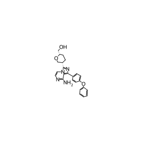 Nc1nccn2c([C@H]3CC[C@@H](CO)OC3)nc(-c3ccc(Oc4ccccc4)cc3)c12